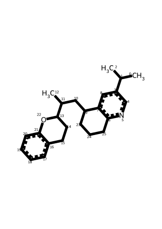 CC(C)c1cnc2c(c1)C(CC(C)C1CCc3ccccc3O1)CCC2